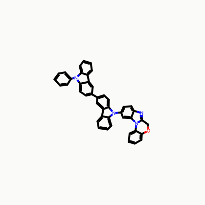 c1ccc(-n2c3ccccc3c3cc(-c4ccc5c(c4)c4ccccc4n5-c4ccc5nc6n(c5c4)-c4ccccc4OC6)ccc32)cc1